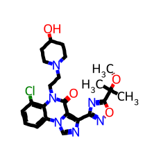 COC(C)(C)c1nc(-c2ncn3c2c(=O)n(CCN2CCC(O)CC2)c2c(Cl)cccc23)no1